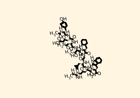 CNC(=N)NCCC[C@H](NC(=O)[C@H](CC1CC1)NC(=O)CNC(=O)[C@H](CC1CCCCC1)NC(=O)[C@@H](NC(=O)[C@H](CC(N)=O)NC(=O)[C@H](CCCC(=O)O)NC(=O)[C@@H](Cc1ccc(O)cc1)NC(C)=O)[C@@H](C)O)C(=O)N[C@@H](Cc1c[nH]c2c1CCC=C2)C(N)=O